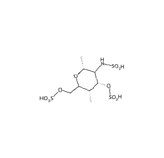 C[C@@H]1C(COS(=O)(=O)O)O[C@H](C)C(NS(=O)(=O)O)[C@@H]1OS(=O)(=O)O